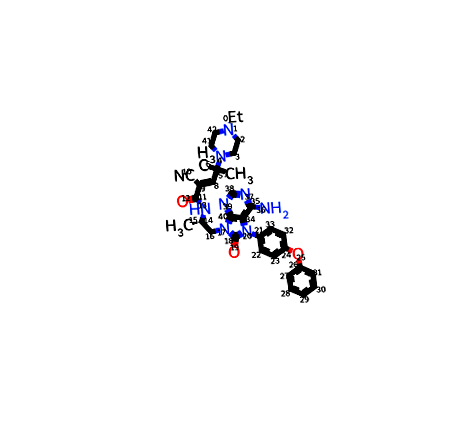 CCN1CCN(C(C)(C)C=C(C#N)C(=O)N[C@@H](C)Cn2c(=O)n(-c3ccc(Oc4ccccc4)cc3)c3c(N)ncnc32)CC1